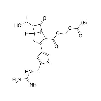 C[C@@H](O)[C@H]1C(=O)N2C(C(=O)OCOC(=O)C(C)(C)C)=C(c3csc(CNC(=N)N)c3)C[C@H]12